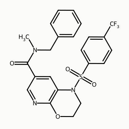 CN(Cc1ccccc1)C(=O)c1cnc2c(c1)N(S(=O)(=O)c1ccc(C(F)(F)F)cc1)CCO2